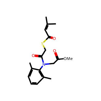 COC(=O)CN(C(=O)CSC(=O)C=C(C)C)c1c(C)cccc1C